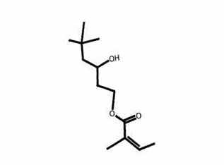 CC=C(C)C(=O)OCCC(O)CC(C)(C)C